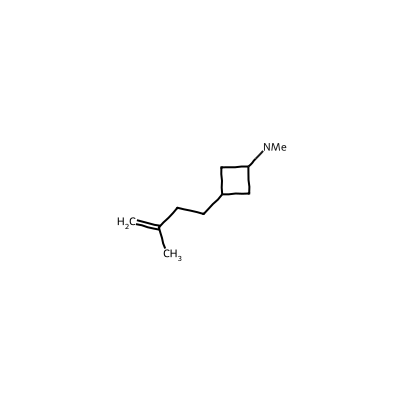 C=C(C)CCC1CC(NC)C1